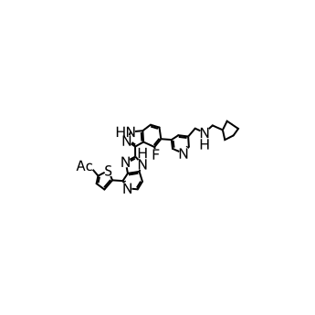 CC(=O)c1ccc(-c2nccc3[nH]c(-c4n[nH]c5ccc(-c6cncc(CNCC7CCCC7)c6)c(F)c45)nc23)s1